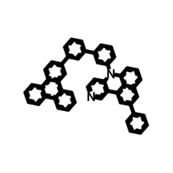 c1ccc(-c2cc3c4c(cccc4c2)N(c2cccc(-c4cccc(-c5ccc6c7ccccc7c7ccccc7c6c5)c4)c2)c2ccncc2-3)cc1